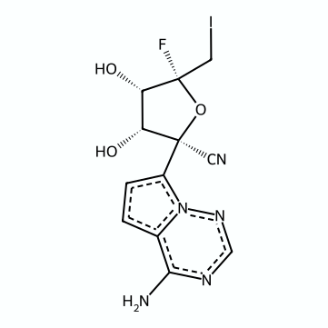 N#C[C@@]1(c2ccc3c(N)ncnn23)O[C@](F)(CI)[C@@H](O)[C@H]1O